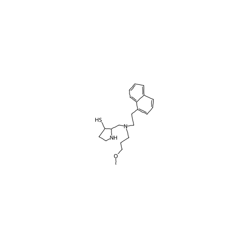 COCCCN(CCc1cccc2ccccc12)CC1NCCC1S